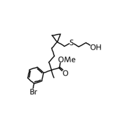 COC(=O)C(C)(CCCC1(CSCCO)CC1)c1cccc(Br)c1